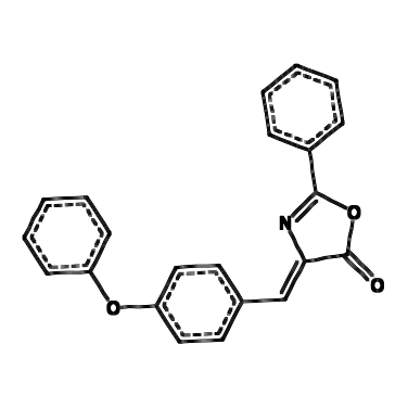 O=C1OC(c2ccccc2)=NC1=Cc1ccc(Oc2ccccc2)cc1